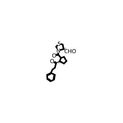 O=C[C@@H]1CSCN1C(=O)C1CCC[C@H]1C(=O)CCc1ccccc1